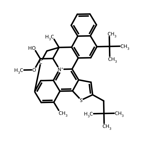 COC(O)C1[n+]2c3c4cc(CC(C)(C)C)sc4c4c(C)cc(cc42)CCC1(C)c1c-3cc(C(C)(C)C)c2ccccc12